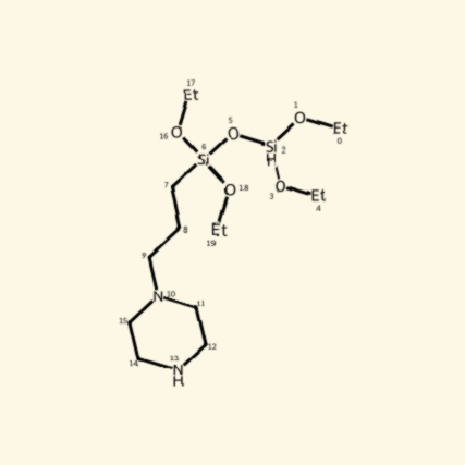 CCO[SiH](OCC)O[Si](CCCN1CCNCC1)(OCC)OCC